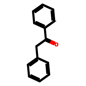 O=C(Cc1ccccc1)c1[c]cccc1